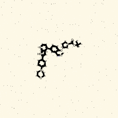 C/N=C\c1cc(-c2ccnc3[nH]c(-c4ccc(N5CCOCC5)cc4)cc23)ccc1O[C@@H]1CCN(C(=O)OC(C)(C)C)C1